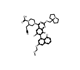 COCOc1cc(-c2c(F)cc3c(N4CCN(C(=O)O)C(CC#N)C4)nc(OCC45CCCN4CCC5)nc3c2F)c2c(Cl)cccc2c1